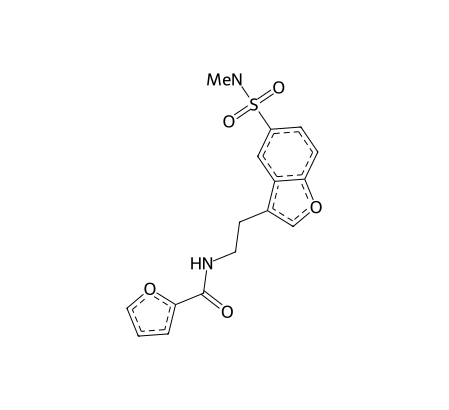 CNS(=O)(=O)c1ccc2occ(CCNC(=O)c3ccco3)c2c1